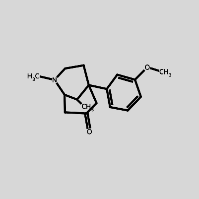 COc1cccc(C23CCN(C)C(CC(=O)C2)C3C)c1